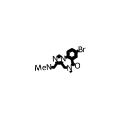 CNCc1ncn2c1CN(C)C(=O)c1cc(Br)ccc1-2